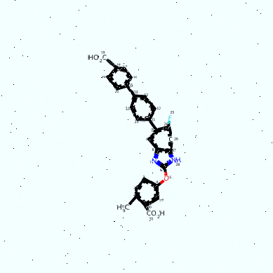 Cc1ccc(Oc2nc3cc(-c4ccc(-c5ccc(C(=O)O)cc5)cc4)c(F)cc3[nH]2)cc1C(=O)O